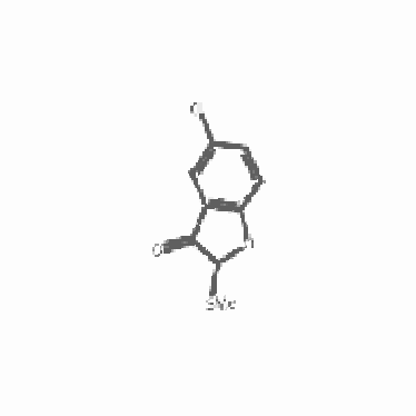 CSC1Oc2ccc(Cl)cc2C1=O